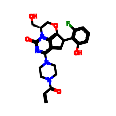 C=CC(=O)N1CCN(c2nc(=O)n3c4c2=CC(c2c(O)cccc2F)C=4OC[C@H]3CO)CC1